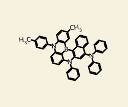 Cc1ccc(N2c3ccc(C)cc3B3c4c2cccc4N(c2ccccc2)c2cc(N(c4ccccc4)c4ccccc4)c4ccccc4c23)cc1